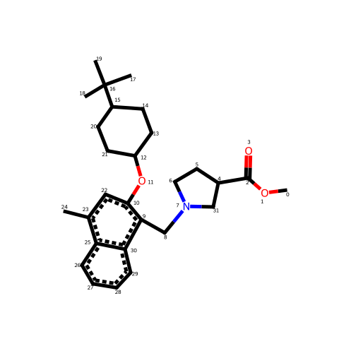 COC(=O)C1CCN(Cc2c(OC3CCC(C(C)(C)C)CC3)cc(C)c3ccccc23)C1